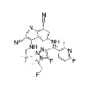 Cc1nc(F)ccc1[C@H](Nc1cc(C#N)c2ncc(C#N)c(NCC(C)(C)C)c2c1)c1nnn([C@@H](C)CF)c1F